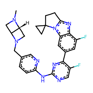 CN1CC2[C@H]1CN2Cc1ccc(Nc2ncc(F)c(-c3cc(F)c4nc5n(c4c3)C3(CC5)CC3)n2)nc1